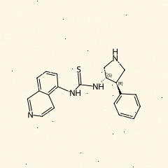 S=C(Nc1cccc2cnccc12)N[C@@H]1CNC[C@H]1c1ccccc1